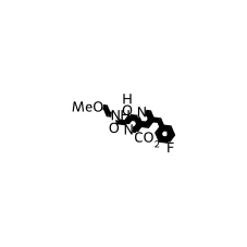 COCCNC(=O)c1nc(C(=O)O)c2cc(Cc3ccc(F)cc3)cnc2c1O